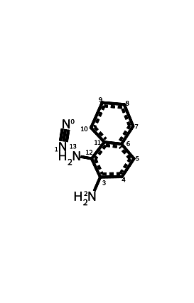 N#N.Nc1ccc2ccccc2c1N